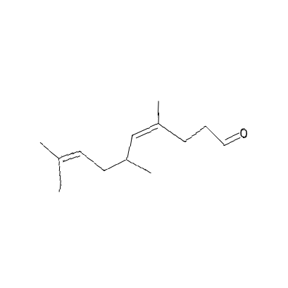 CC(C)=CCC(C)C=C(C)CCC=O